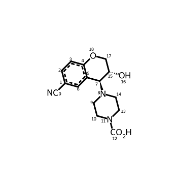 N#Cc1ccc2c(c1)[C@H](N1CCN(C(=O)O)CC1)[C@@H](O)CO2